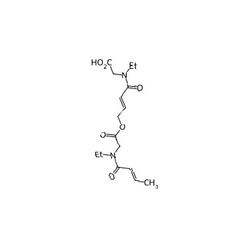 C/C=C/C(=O)N(CC)CC(=O)OC/C=C/C(=O)N(CC)CC(=O)O